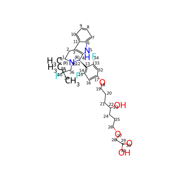 C[C@@H]1Cc2c([nH]c3ccccc23)[C@@H](c2c(F)cc(OCCCC(O)CCCOCC(=O)O)cc2F)N1CC(C)(C)F